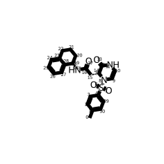 Cc1ccc(S(=O)(=O)N2C=CNC(=O)[C@H]2CC(=O)N[C@@H]2CCCc3ccccc32)cc1